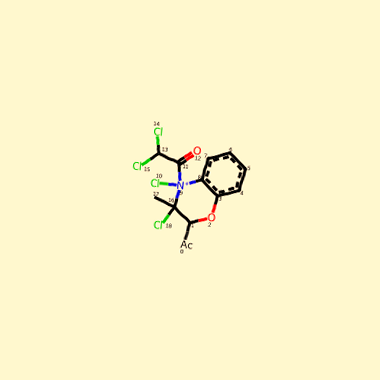 CC(=O)C1Oc2ccccc2[N+](Cl)(C(=O)C(Cl)Cl)C1(C)Cl